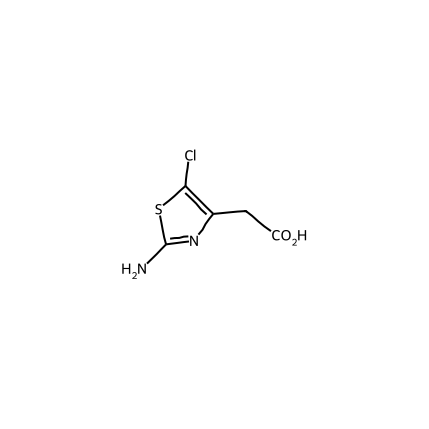 Nc1nc(CC(=O)O)c(Cl)s1